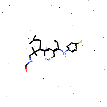 C=C/C(NC1=CCC(F)C=C1)=C(\C=C(/C)C(CC(C)C)C(C)(C)CNC=O)CN